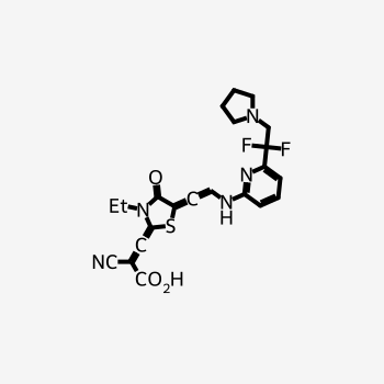 CCn1c(=C=C(C#N)C(=O)O)sc(=C=CNc2cccc(C(F)(F)CN3CCCC3)n2)c1=O